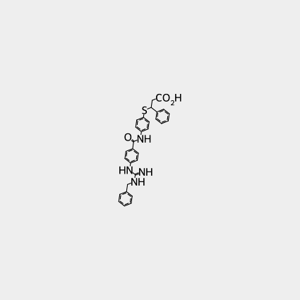 N=C(NCc1ccccc1)Nc1ccc(C(=O)Nc2ccc(SC(CC(=O)O)c3ccccc3)cc2)cc1